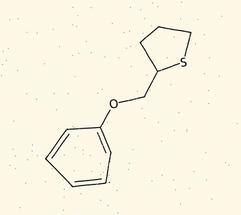 [c]1cccc(OCC2CCCS2)c1